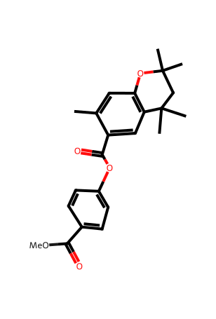 COC(=O)c1ccc(OC(=O)c2cc3c(cc2C)OC(C)(C)CC3(C)C)cc1